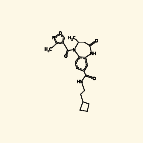 Cc1nocc1C(=O)N1c2ccc(C(=O)NCCC3CCC3)cc2NC(=O)CC1C